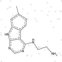 Cc1ccc2c(c1)[nH]c1ncnc(NCCN)c12